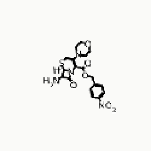 NC1C(=O)N2C(C(=O)OCc3ccc([N+](=O)[O-])cc3)=C(N3CCOCC3)CS[C@H]12